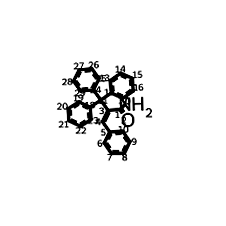 NC(=O)C(=Cc1ccccc1)C(c1ccccc1)(c1ccccc1)c1ccccc1